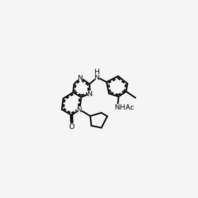 CC(=O)Nc1cc(Nc2ncc3ccc(=O)n(C4CCCC4)c3n2)ccc1C